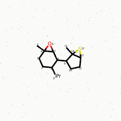 CC(C)C1CCC2(C)OC2C1C1CCC2SC21C